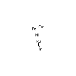 [Cu].[Fe].[Ni].[Ru][Ir]